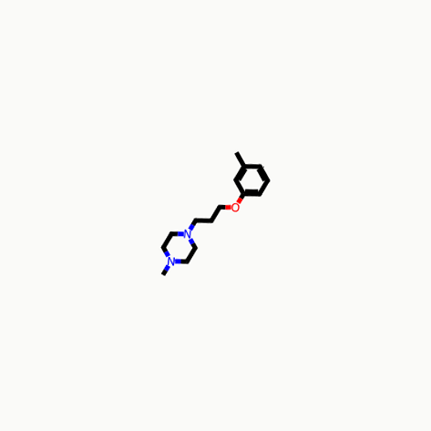 Cc1[c]ccc(OCCCN2CCN(C)CC2)c1